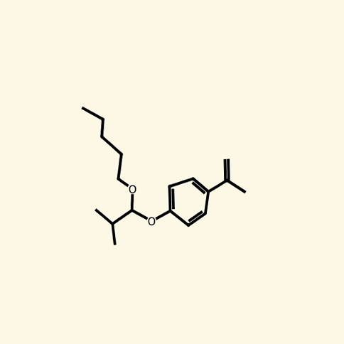 C=C(C)c1ccc(OC(OCCCCC)C(C)C)cc1